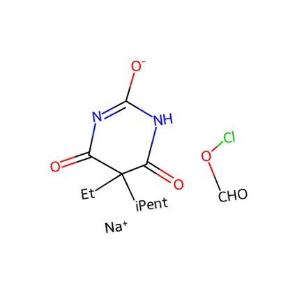 CCCC(C)C1(CC)C(=O)N=C([O-])NC1=O.O=COCl.[Na+]